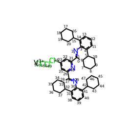 CC(=Nc1c(C2CCCCC2)cccc1C1CCCCC1)c1cc(Cl)cc(C(C)=Nc2c(C3CCCCC3)cccc2C2CCCCC2)n1.[Cl-].[Cl-].[Cl-].[V+3]